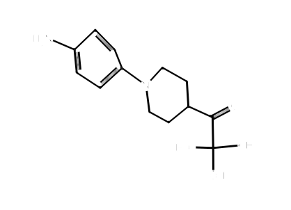 CC(C)(O)C(=O)C1CCN(c2ccc(N)cc2)CC1